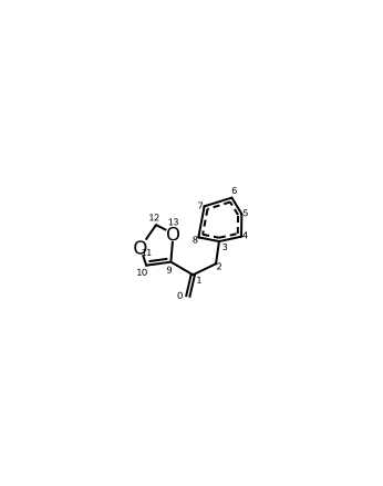 C=C(Cc1ccccc1)C1=COCO1